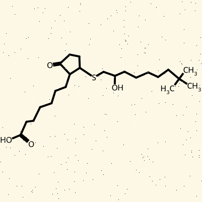 CC(C)(C)CCCCCC(O)CSC1CCC(=O)C1CCCCCCC(=O)O